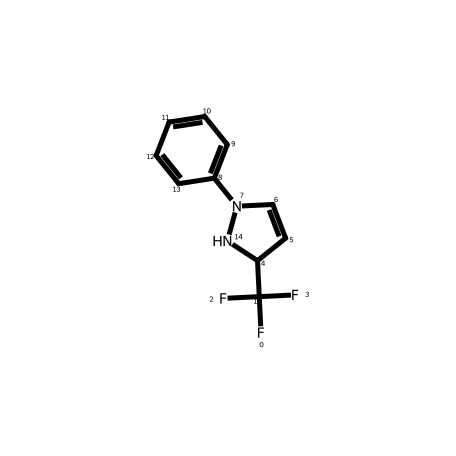 FC(F)(F)C1C=CN(c2ccccc2)N1